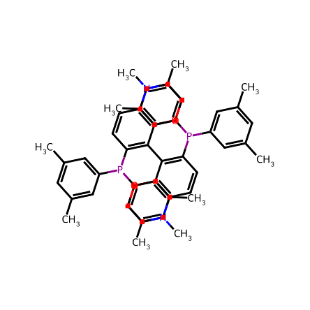 Cc1cc(C)cc(P(c2cc(C)cc(C)c2)c2ccc3c(c2-c2c(P(c4cc(C)cc(C)c4)c4cc(C)cc(C)c4)ccc4c2OCCN4C)OCCN3C)c1